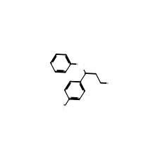 ClCCC(Oc1ccccc1)c1ccc(Cl)cc1